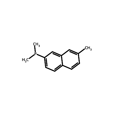 Cc1ccc2ccc(P(C)C)cc2c1